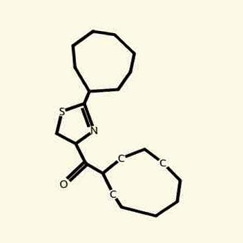 O=C(C1CCCCCCCC1)C1CSC(C2CCCCCCC2)=N1